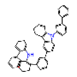 C1=CC(NC2=CCCC=C2c2ccccc2)=C(c2cccc(-c3ccc4c(c3)c3c(n4-c4cccc(-c5ccccc5)c4)C=CCC3)c2)CC1